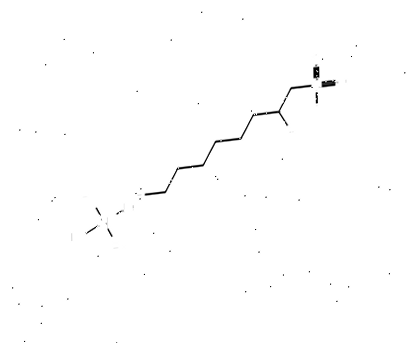 CC[N+](CC)(CC)CC.O=S(=O)([O-])CC(F)CCCCCCF